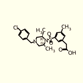 Cc1cc(CC(=O)O)cc(S(=O)(=O)N2[C@H](C)CN(Cc3ccc(Cl)cc3)C[C@@H]2C)c1